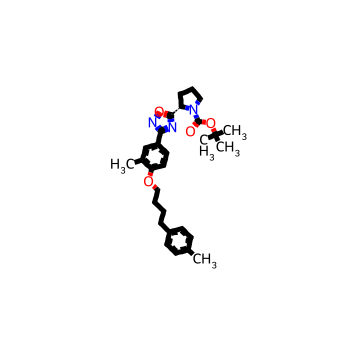 Cc1ccc(CCCCOc2ccc(-c3noc([C@@H]4CCCN4C(=O)OC(C)(C)C)n3)cc2C)cc1